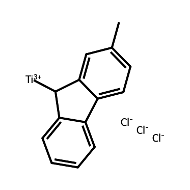 Cc1ccc2c(c1)[CH]([Ti+3])c1ccccc1-2.[Cl-].[Cl-].[Cl-]